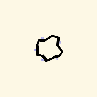 C1=C\C=C\C/C=C/C/C=C/C=C/1